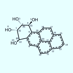 O[C@@H]1[C@H](O)[C@@H](O)c2c(cc3ccc4cccc5ccc2c3c45)[C@H]1O